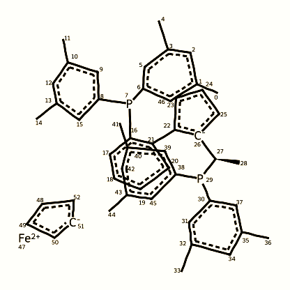 Cc1cc(C)cc(P(c2cc(C)cc(C)c2)c2ccccc2-c2ccc[c-]2[C@@H](C)P(c2cc(C)cc(C)c2)c2cc(C)cc(C)c2)c1.[Fe+2].c1cc[cH-]c1